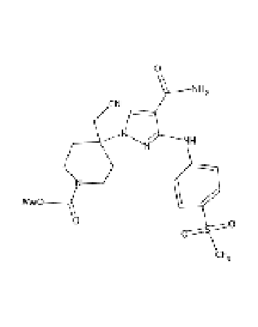 COC(=O)N1CCC(CC#N)(n2cc(C(N)=O)c(Nc3ccc(S(=O)(=O)C(F)(F)F)cc3)n2)CC1